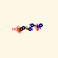 COc1cc2cc(OCc3ccnc(-c4cc(COc5nc6ccccc6nc5OC)ccn4)c3)ccc2cc1S(=O)(=O)O